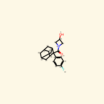 O=C(N1CC(O)C1)C1(c2ccc(F)cc2)C2CC3CC(C2)CC1C3